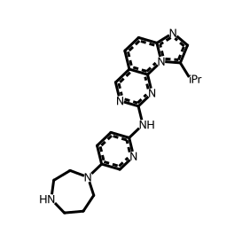 CC(C)c1cnc2ccc3cnc(Nc4ccc(N5CCCNCC5)cn4)nc3n12